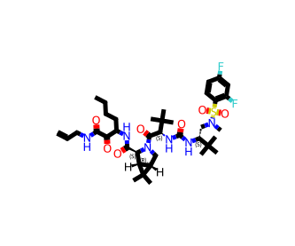 C=CCNC(=O)C(=O)C(CCCC)NC(=O)[C@@H]1[C@@H]2[C@H](CN1C(=O)[C@@H](NC(=O)N[C@H](CN(C)S(=O)(=O)c1ccc(F)cc1F)C(C)(C)C)C(C)(C)C)C2(C)C